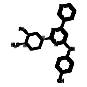 CC(=O)N1C[C@H](c2nc(Nc3ccc(O)cc3)cc(-c3cccnc3)n2)CC[C@@H]1C